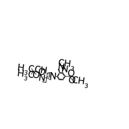 COC(=O)c1ccc(N2CCC3(CCN3C(=O)OC(C)(C)C)C2)c2cn(C)nc12